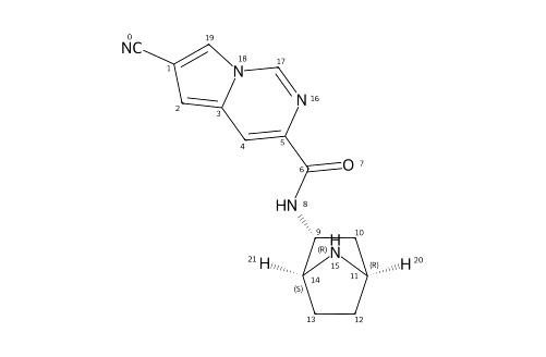 N#Cc1cc2cc(C(=O)N[C@@H]3C[C@H]4CC[C@@H]3N4)ncn2c1